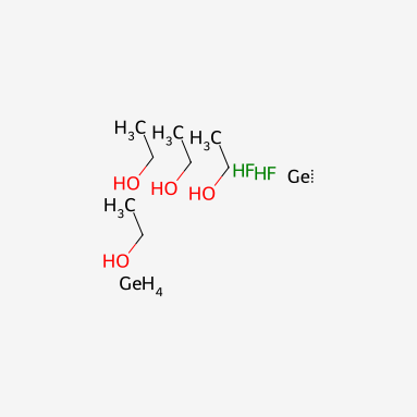 CCO.CCO.CCO.CCO.F.F.[GeH4].[Ge]